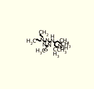 C=CCN(CC=C)c1nc(NC2CC(C)(C)N(O)C(C)(C)C2)nc(SC)n1